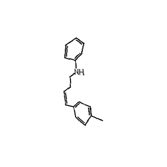 Cc1ccc(/C=C\CCNc2ccccc2)cc1